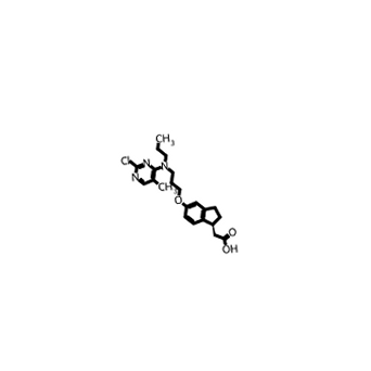 CCCN(CCCOc1ccc2c(c1)CC[C@H]2CC(=O)O)c1nc(Cl)ncc1C